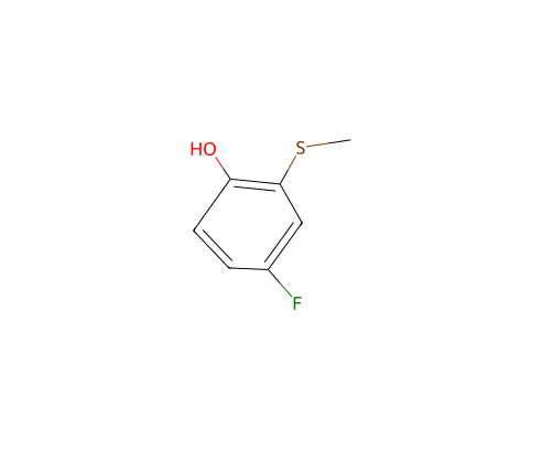 CSc1cc(F)ccc1O